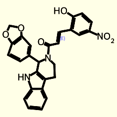 O=C(/C=C/c1cc([N+](=O)[O-])ccc1O)N1CCc2c([nH]c3ccccc23)C1c1ccc2c(c1)OCO2